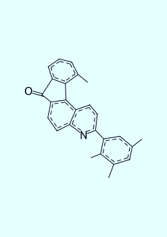 Cc1cc(C)c(C)c(-c2ccc3c4c(ccc3n2)C(=O)c2cccc(C)c2-4)c1